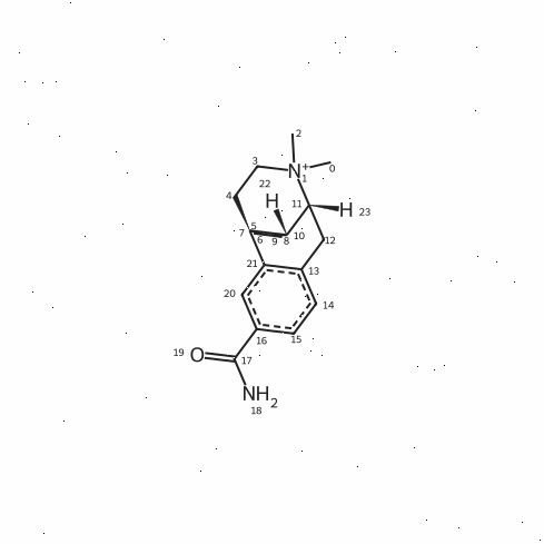 C[N+]1(C)CC[C@]23CCCC[C@H]2[C@H]1Cc1ccc(C(N)=O)cc13